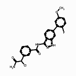 COc1ccc(F)c(-c2ccc3c(NC(=O)c4cccc(C(Cl)C(N)=O)c4)n[nH]c3c2)c1